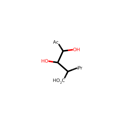 CC(=O)C(O)C(O)C(C(=O)O)C(C)C